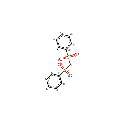 O=S(=O)([C]S(=O)(=O)c1ccccc1)c1ccccc1